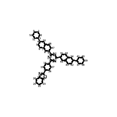 c1ccc(-c2ccc3cc(-c4nc(-c5ccc(-c6nc7ccccc7o6)cc5)nc(-c5ccc6cc(-c7ccccc7)ccc6c5)n4)ccc3c2)cc1